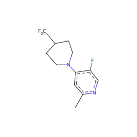 Cc1cc(N2CCC(C(F)(F)F)CC2)c(F)cn1